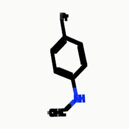 CC(C)c1ccc(N[C]=O)cc1